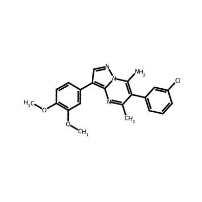 COc1ccc(-c2cnn3c(N)c(-c4cccc(Cl)c4)c(C)nc23)cc1OC